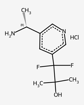 C[C@@H](N)c1cncc(C(F)(F)C(C)(C)O)c1.Cl